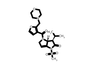 CC(C)[C@H]1C(=O)N(S(C)(=O)=O)C2=CCN(C(=O)c3ccoc3CN3CCOCC3)[C@@H]21